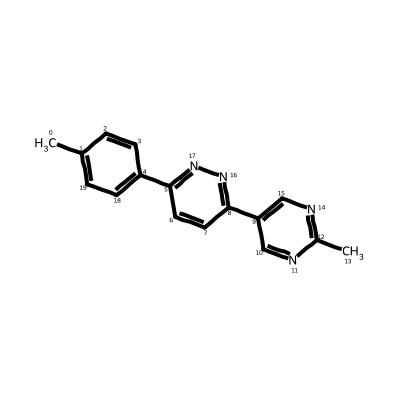 Cc1ccc(-c2ccc(-c3cnc(C)nc3)nn2)cc1